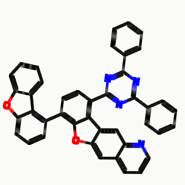 c1ccc(-c2nc(-c3ccccc3)nc(-c3ccc(-c4cccc5oc6ccccc6c45)c4oc5cc6cccnc6cc5c34)n2)cc1